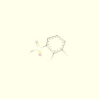 CS(=O)(=O)c1cc[c]c(F)c1F